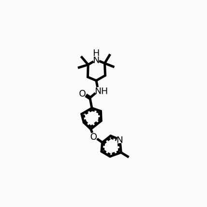 Cc1ccc(Oc2ccc(C(=O)NC3CC(C)(C)NC(C)(C)C3)cc2)cn1